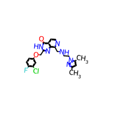 Cc1cc(C)n(CCNCc2nccc3c(=O)[nH]c(COc4ccc(F)c(Cl)c4)nc23)n1